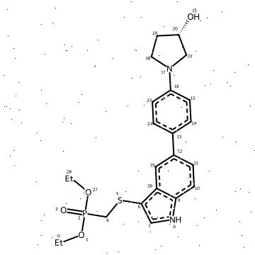 CCOP(=O)(CSc1c[nH]c2ccc(-c3ccc(N4CC[C@H](O)C4)cc3)cc12)OCC